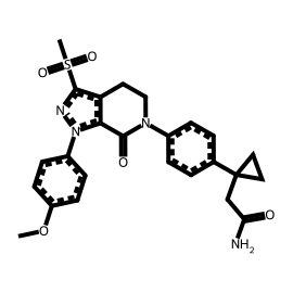 COc1ccc(-n2nc(S(C)(=O)=O)c3c2C(=O)N(c2ccc(C4(CC(N)=O)CC4)cc2)CC3)cc1